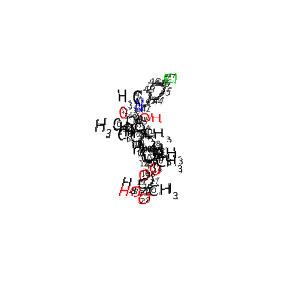 CC(C)C1=C2[C@H]3CC[C@@H]4[C@@]5(C)CC[C@H](OC(=O)CC(C)(C)C(=O)O)C(C)(C)[C@@H]5CC[C@@]4(C)[C@]3(C)CC[C@@]2([C@H](O)CN(C)Cc2ccc(Cl)cc2)CC1=O